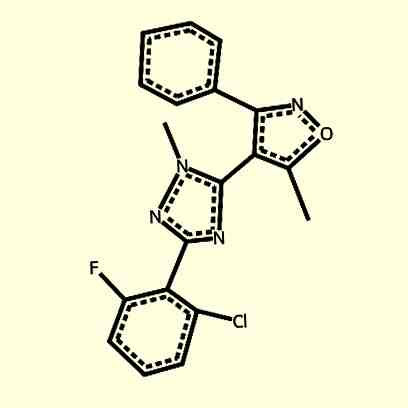 Cc1onc(-c2ccccc2)c1-c1nc(-c2c(F)cccc2Cl)nn1C